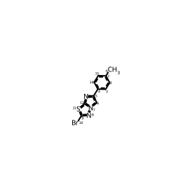 Cc1ccc(-c2cn3nc(Br)sc3n2)cc1